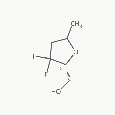 CC1CC(F)(F)[C@@H](CO)O1